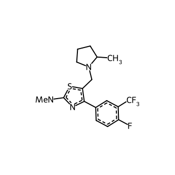 CNc1nc(-c2ccc(F)c(C(F)(F)F)c2)c(CN2CCCC2C)s1